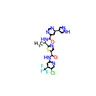 CC(NC(=O)c1cc(-c2cn[nH]c2)ncn1)c1ncc(C(=O)Nc2cc(C(F)(F)F)c(Cl)cn2)s1